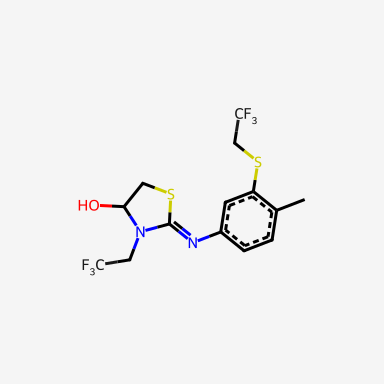 Cc1ccc(/N=C2\SCC(O)N2CC(F)(F)F)cc1SCC(F)(F)F